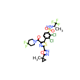 C[C@H](NS(=O)(=O)c1ccc(-c2sc(-c3nnc(C4(C)CC4)o3)nc2C(=O)N2CCC(F)(F)CC2)c(Cl)c1Cl)C(F)(F)F